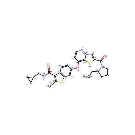 COC[C@@H]1CCCN1C(=O)c1cc2nccc(Oc3ccc4c(C(=O)NCC5CC5)c(C)sc4c3)c2s1